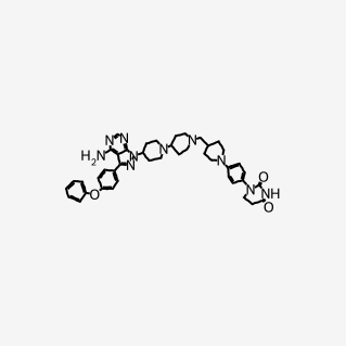 Nc1ncnc2c1c(-c1ccc(Oc3ccccc3)cc1)nn2C1CCN(C2CCN(CC3CCN(c4ccc(N5CCC(=O)NC5=O)cc4)CC3)CC2)CC1